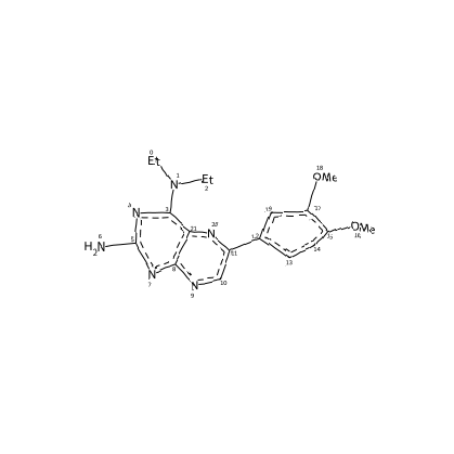 CCN(CC)c1nc(N)nc2ncc(-c3ccc(OC)c(OC)c3)nc12